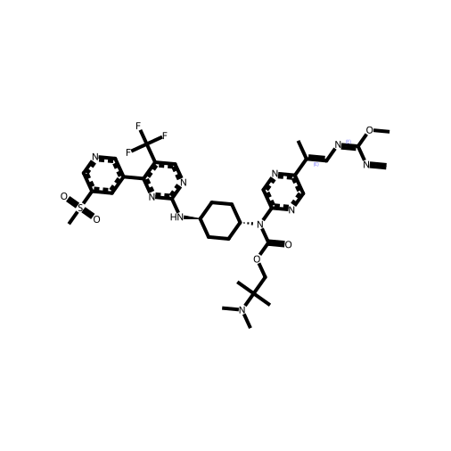 C=N/C(=N\C=C(/C)c1cnc(N(C(=O)OCC(C)(C)N(C)C)[C@H]2CC[C@H](Nc3ncc(C(F)(F)F)c(-c4cncc(S(C)(=O)=O)c4)n3)CC2)cn1)OC